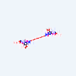 CC(O)C(=O)c1c(I)c(C(=O)NC(C)(CO)CO)c(I)c(C(=O)N(N)CCOCCOCCOCCOCCN(N)C(=O)c2c(I)c(C(=O)NC(C)(CO)CO)c(I)c(C(=O)C(C)O)c2I)c1I